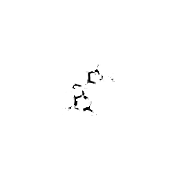 Nc1nc(N)c2ncn([C@H]3C[C@@H](O)[C@H](CO)O3)c2n1